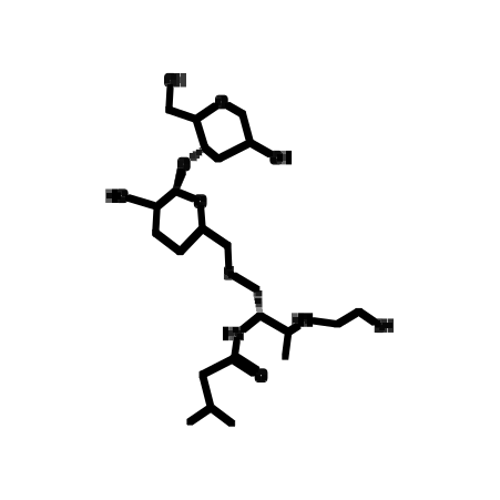 CC(C)CC(=O)N[C@H](CSCC1CCC(O)[C@@H](O[C@H]2CC(O)COC2CO)O1)C(C)NCCS